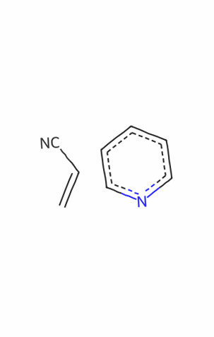 C=CC#N.c1ccncc1